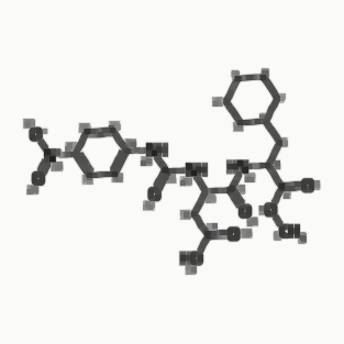 COC(=O)C(CC1CCCCC1)NC(=O)C(CC(=O)O)NC(=O)Nc1ccc([N+](=O)[O-])cc1